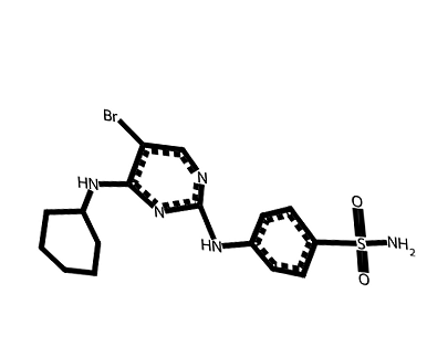 NS(=O)(=O)c1ccc(Nc2ncc(Br)c(NC3CCCCC3)n2)cc1